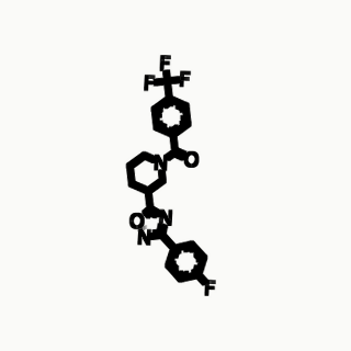 O=C(c1ccc(C(F)(F)F)cc1)N1CCCC(c2nc(-c3ccc(F)cc3)no2)C1